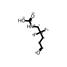 O=CCCC(F)(F)CNC(=O)O